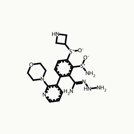 NN/N=C(\N)c1c(-c2cccnc2N2CCOCC2)ccc([S+]([O-])C2CNC2)c1[S+](N)[O-]